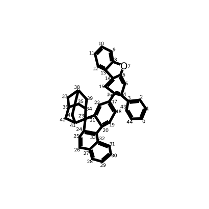 c1ccc(-c2cc3oc4ccccc4c3cc2-c2ccc3c(c2)C2(c4ccc5ccccc5c4-3)C3CC4CC(C3)CC2C4)cc1